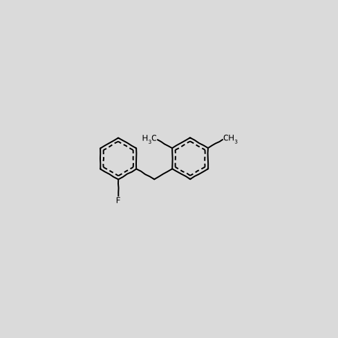 Cc1ccc(Cc2ccccc2F)c(C)c1